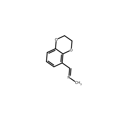 C/N=C/c1cccc2c1OCCO2